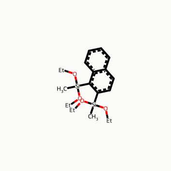 CCO[Si](C)(OCC)c1ccc2ccccc2c1[Si](C)(OCC)OCC